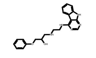 OC(CNCCNc1ncnc2[nH]c3ccccc3c12)COc1ccccc1